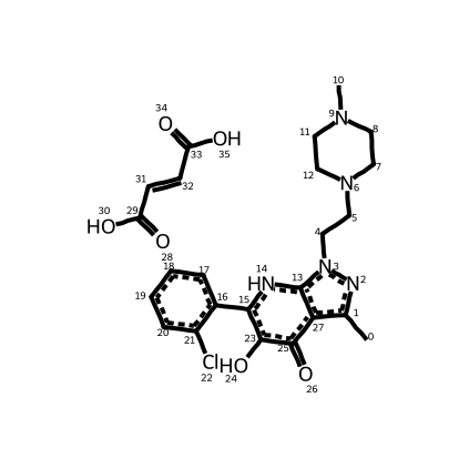 Cc1nn(CCN2CCN(C)CC2)c2[nH]c(-c3ccccc3Cl)c(O)c(=O)c12.O=C(O)/C=C/C(=O)O